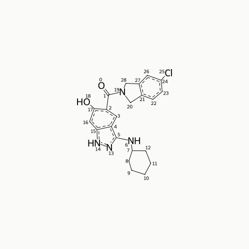 O=C(c1cc2c(NC3CCCCC3)n[nH]c2cc1O)N1Cc2ccc(Cl)cc2C1